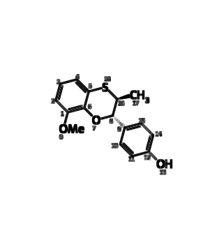 COc1cccc2c1O[C@@H](c1ccc(O)cc1)[C@H](C)S2